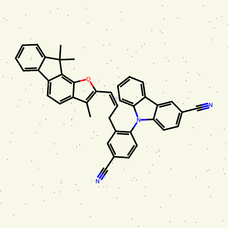 Cc1c(/C=C\Cc2cc(C#N)ccc2-n2c3ccccc3c3cc(C#N)ccc32)oc2c3c(ccc12)-c1ccccc1C3(C)C